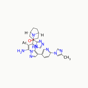 CC(=O)c1c(C2C[C@H]3CC[C@@H](C2)N3C(=O)c2nnc[nH]2)nc2c(-c3ccc(-n4cnc(C)c4)nc3)cnn2c1N